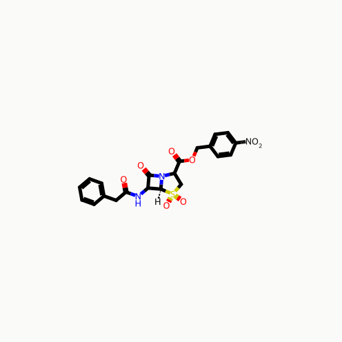 O=C(Cc1ccccc1)NC1C(=O)N2C(C(=O)OCc3ccc([N+](=O)[O-])cc3)CS(=O)(=O)[C@@H]12